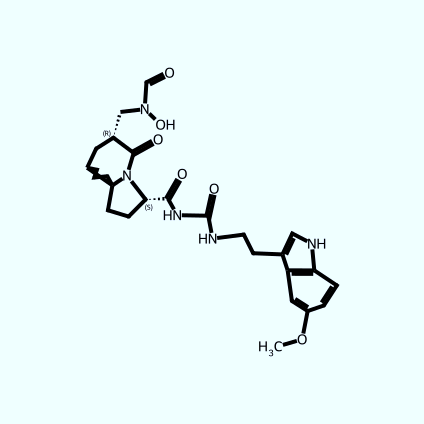 COc1ccc2[nH]cc(CCNC(=O)NC(=O)[C@@H]3CCC45CCCC4C[C@H](CN(O)C=O)C(=O)N35)c2c1